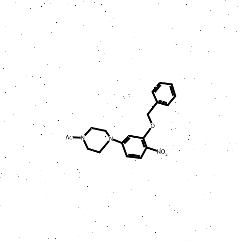 CC(=O)N1CCN(c2ccc([N+](=O)[O-])c(OCc3ccccc3)c2)CC1